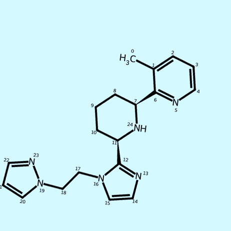 Cc1cccnc1[C@@H]1CCC[C@H](c2nccn2CCn2cccn2)N1